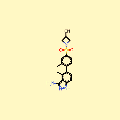 Cc1cc(S(=O)(=O)N2CC(C#N)C2)ccc1-c1ccc2[nH]nc(N)c2c1C